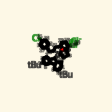 CC(C)(C)c1ccc2c(c1)-c1cc(C(C)(C)C)ccc1[CH]2[Zr+2]([C]1=CC=CC1)=[C](Cc1ccc(Cl)cc1)Cc1ccc(Cl)cc1.[Cl-].[Cl-]